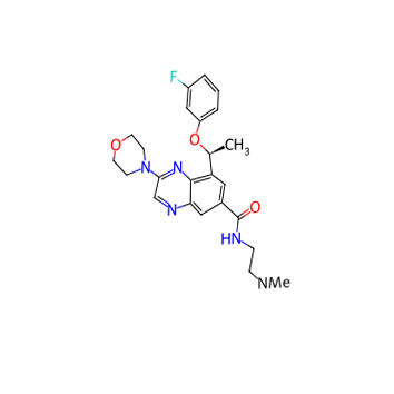 CNCCNC(=O)c1cc([C@H](C)Oc2cccc(F)c2)c2nc(N3CCOCC3)cnc2c1